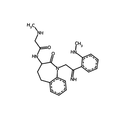 CNCC(=O)NC1CCc2ccccc2N(CC(=N)c2ccccc2NC)C1=O